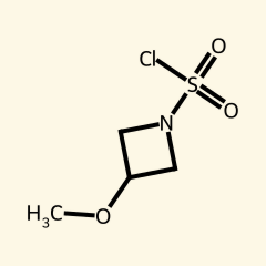 COC1CN(S(=O)(=O)Cl)C1